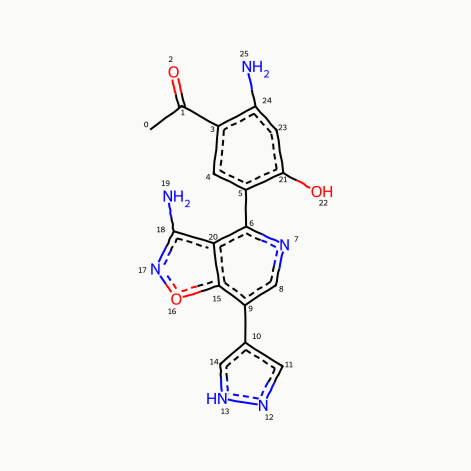 CC(=O)c1cc(-c2ncc(-c3cn[nH]c3)c3onc(N)c23)c(O)cc1N